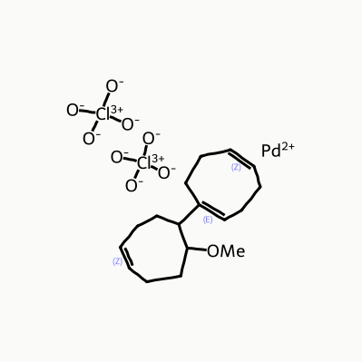 COC1CC/C=C\CCC1/C1=C/CC/C=C\CC1.[O-][Cl+3]([O-])([O-])[O-].[O-][Cl+3]([O-])([O-])[O-].[Pd+2]